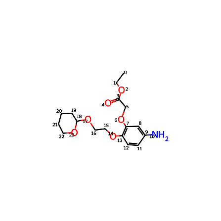 CCOC(=O)COc1cc(N)ccc1OCCOC1CCCCO1